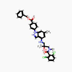 CCN(CC(O)(CNc1cc(C)cc2c1cnn2-c1ccc(C(=O)OCc2ccccc2)cc1)C(F)(F)F)C(=O)c1c(Cl)cccc1Cl